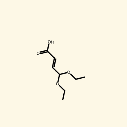 CCOC(/C=C/C(=O)O)OCC